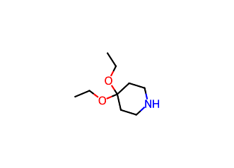 CCOC1(OCC)CCNCC1